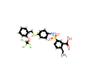 CCc1ccc(S(=O)(=O)Nc2ccc(SCc3ccccc3OC(F)(F)F)cc2)cc1C(=O)O